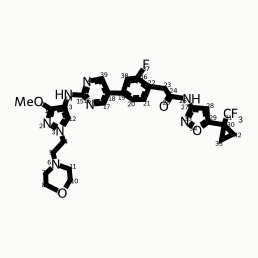 COc1nn(CCN2CCOCC2)cc1Nc1ncc(-c2ccc(CC(=O)Nc3cc(C4(C(F)(F)F)CC4)on3)c(F)c2)cn1